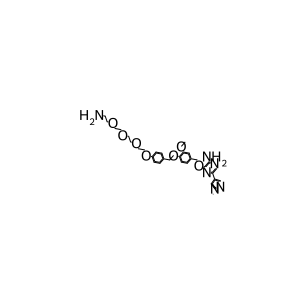 COc1cc(COc2nc(-c3cnn(C)c3)cnc2N)ccc1OCc1ccc(OCCOCCOCCOCCN)cc1